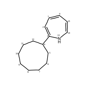 C1=CC=C(C2CCCCCCCC2)NC=C1